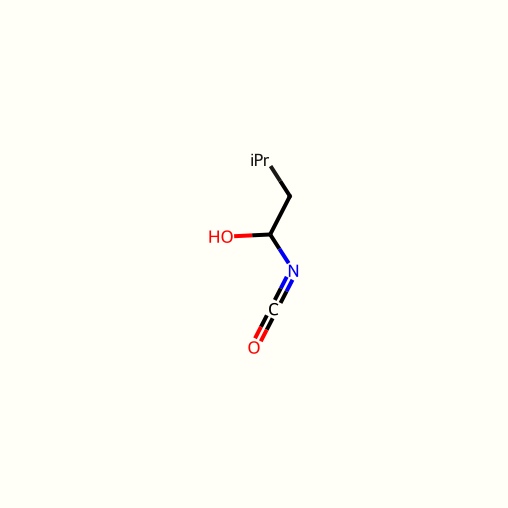 CC(C)CC(O)N=C=O